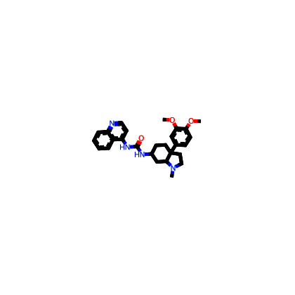 COc1ccc(C23CCC(NC(=O)Nc4ccnc5ccccc45)CC2N(C)CC3)cc1OC